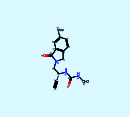 C#C[C@H](CN1Cc2ccc(SC)cc2C1=O)NC(=O)NC=O